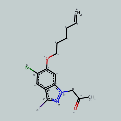 C=CCCCCOc1cc2c(cc1Br)c(I)nn2CC(C)=O